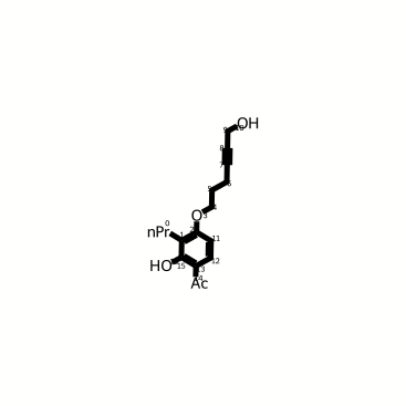 CCCc1c(OCCCC#CCO)ccc(C(C)=O)c1O